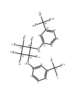 FC(F)(F)c1cccc(OC2(F)C(F)(F)C(F)(F)C2(F)Oc2cccc(C(F)(F)F)c2)c1